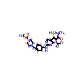 CCC(CC)n1c(C(=O)N(C)C)cc2cnc(Nc3ccc(CN4CCN(C(=O)OC(C)(C)C)CC4)cc3)nc21